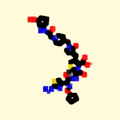 Nc1nc(C(=NOC2CCCC2)C(=O)N[C@@H]2C(=O)N3C(C(=O)[O-])=C(C=C4CCN(Cc5cc[n+](CC(=O)Nc6cccc(O)c6)cc5)C4=O)CS[C@H]23)cs1